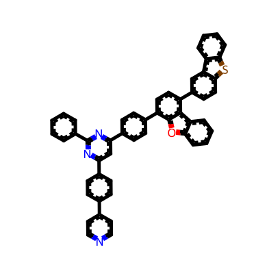 c1ccc(-c2nc(-c3ccc(-c4ccncc4)cc3)cc(-c3ccc(-c4ccc(-c5ccc6sc7ccccc7c6c5)c5c4oc4ccccc45)cc3)n2)cc1